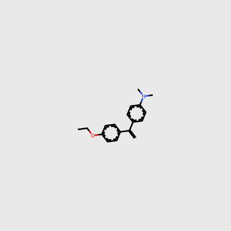 [CH]=C(c1ccc(OCC)cc1)c1ccc(N(C)C)cc1